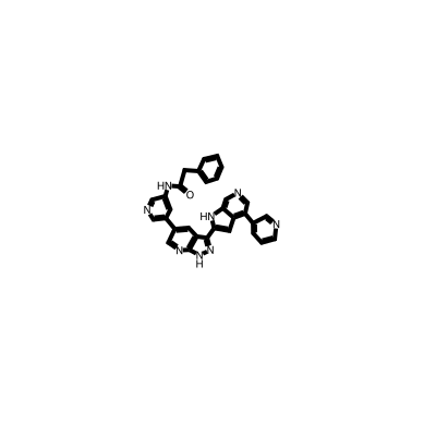 O=C(Cc1ccccc1)Nc1cncc(-c2cnc3[nH]nc(-c4cc5c(-c6cccnc6)cncc5[nH]4)c3c2)c1